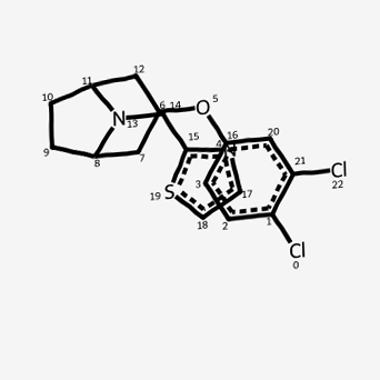 Clc1ccc(OC2CC3CCC(C2)N3Cc2nccs2)cc1Cl